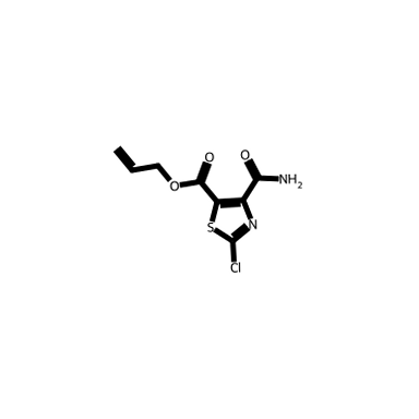 C=CCOC(=O)c1sc(Cl)nc1C(N)=O